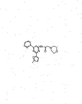 Cc1ccc(-c2nc(NC(=O)CN3CCOCC3)cc(-c3ccccn3)n2)o1